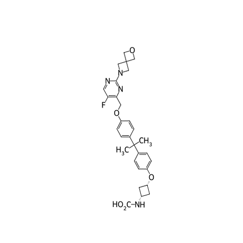 CC(C)(c1ccc(OCc2nc(N3CC4(COC4)C3)ncc2F)cc1)c1ccc(O[C@H]2C[C@@H](NC(=O)O)C2)cc1